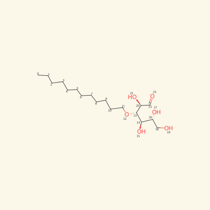 CCCCCCCCCCCCO[C@@H]([C@H](O)[C@H](O)CO)[C@@H](O)C=O